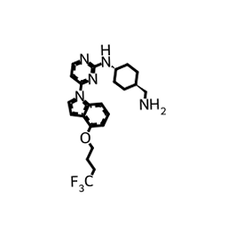 NC[C@H]1CC[C@H](Nc2nccc(-n3ccc4c(OCCCC(F)(F)F)cccc43)n2)CC1